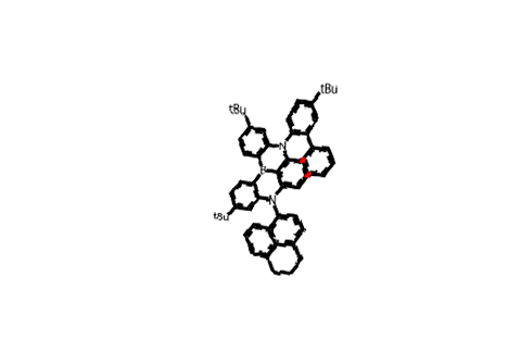 CC(C)(C)c1ccc(N2c3cc(C(C)(C)C)ccc3B3c4ccc(C(C)(C)C)cc4N(c4ccc5c6c(cccc46)CCC5)c4cccc2c43)c(-c2ccccc2)c1